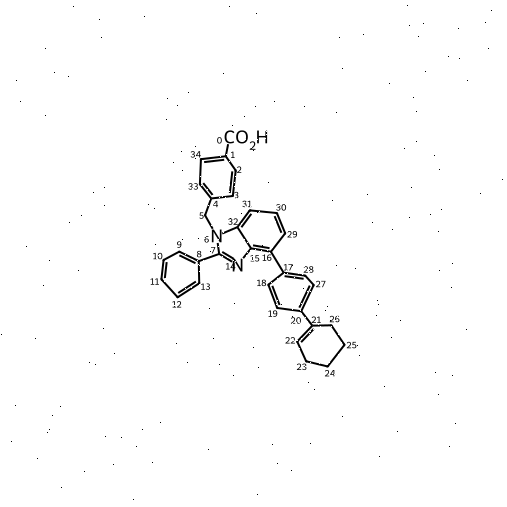 O=C(O)c1ccc(Cn2c(-c3ccccc3)nc3c(-c4ccc(C5=CCCCC5)cc4)cccc32)cc1